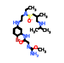 CCN(CCNC1=CC(NC(=O)C/N=C(/N)OC)C(Br)C=C1)[S+]([O-])CC(C)CNC(C)C